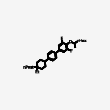 CCCCCCC(C)Oc1c(F)cc(-c2ccc(C3CCC(CC)(CCCCC)CC3)cc2)cc1F